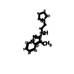 Cc1c(NCCN2CCCC2)nn2ccccc12